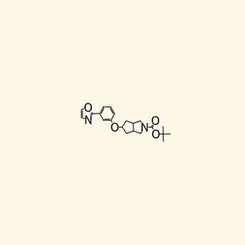 CC(C)(C)OC(=O)N1CC2CC(Oc3cccc(-c4ncco4)c3)CC2C1